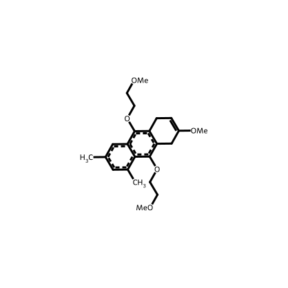 COCCOc1c2c(c(OCCOC)c3c(C)cc(C)cc13)CC(OC)=CC2